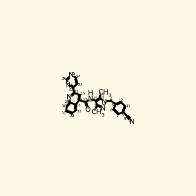 Cc1nn(Cc2ccc(C#N)cc2)c(C)c1NC(=O)c1cc(-c2ccncn2)nc2ccccc12